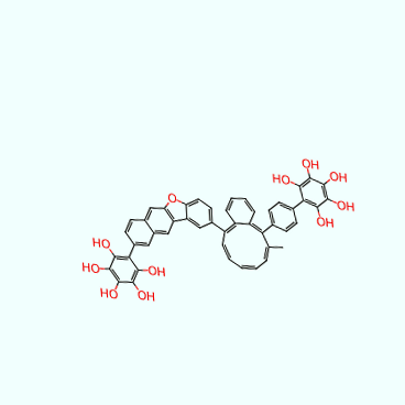 Cc1cccccc(-c2ccc3oc4cc5ccc(-c6c(O)c(O)c(O)c(O)c6O)cc5cc4c3c2)c2ccccc2c1-c1ccc(-c2c(O)c(O)c(O)c(O)c2O)cc1